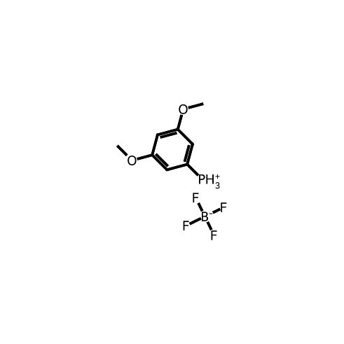 COc1cc([PH3+])cc(OC)c1.F[B-](F)(F)F